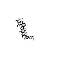 Cc1cc(C(C)N2Cc3c(ccnc3C(=O)NC[C@@H](C)O)C2=O)cnc1-n1cc(C(F)(F)F)cn1